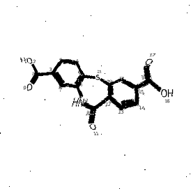 O=C(O)c1ccc2c(c1)NC(=O)c1ccc(C(=O)O)cc1S2